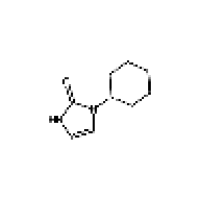 O=c1[nH]ccn1N1CCCCC1